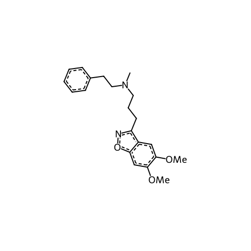 COc1cc2onc(CCCN(C)CCc3ccccc3)c2cc1OC